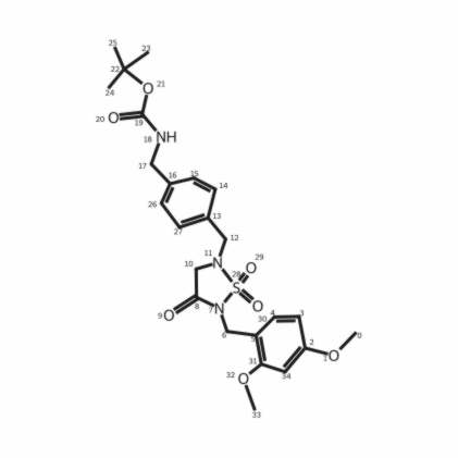 COc1ccc(CN2C(=O)CN(Cc3ccc(CNC(=O)OC(C)(C)C)cc3)S2(=O)=O)c(OC)c1